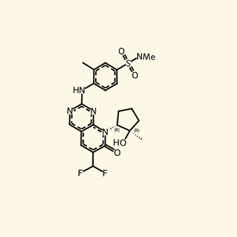 CNS(=O)(=O)c1ccc(Nc2ncc3cc(C(F)F)c(=O)n([C@@H]4CCC[C@@]4(C)O)c3n2)c(C)c1